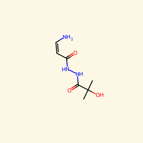 CC(C)(O)C(=O)NNC(=O)/C=C\N